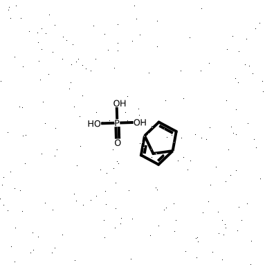 C1=CC2=CC=C1C2.O=P(O)(O)O